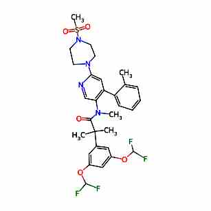 Cc1ccccc1-c1cc(N2CCN(S(C)(=O)=O)CC2)ncc1N(C)C(=O)C(C)(C)c1cc(OC(F)F)cc(OC(F)F)c1